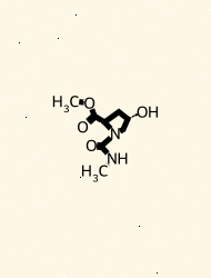 CNC(=O)N1C[C@@H](O)CC1C(=O)OC